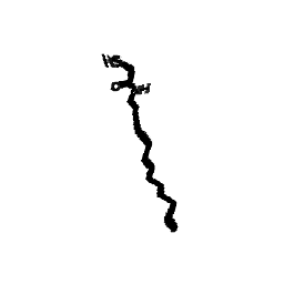 CCCCCCCCCCCCNC(=O)CS